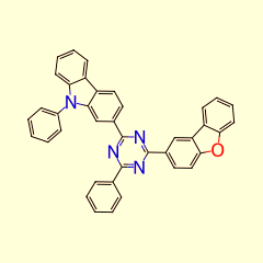 c1ccc(-c2nc(-c3ccc4oc5ccccc5c4c3)nc(-c3ccc4c5ccccc5n(-c5ccccc5)c4c3)n2)cc1